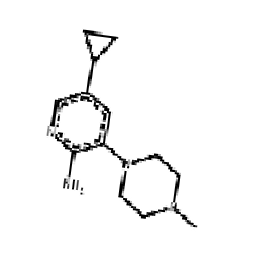 CN1CCN(c2cc(C3CC3)cnc2N)CC1